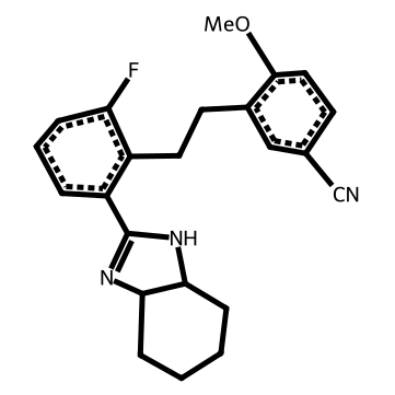 COc1ccc(C#N)cc1CCc1c(F)cccc1C1=NC2CCCCC2N1